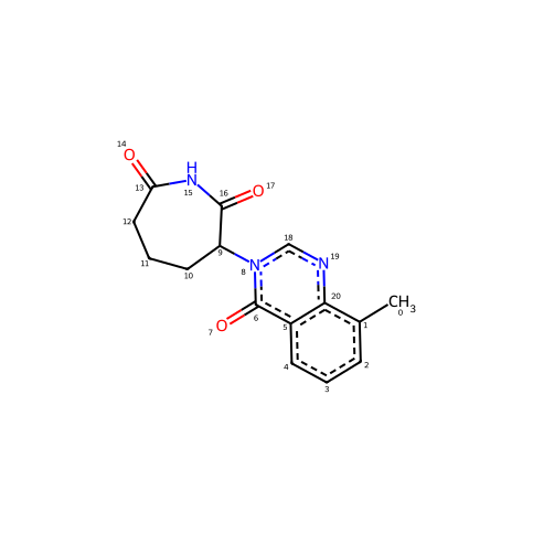 Cc1cccc2c(=O)n(C3CCCC(=O)NC3=O)cnc12